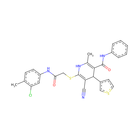 CC1=C(C(=O)Nc2ccccc2)C(c2ccsc2)C(C#N)=C(SCC(=O)Nc2ccc(C)c(Cl)c2)N1